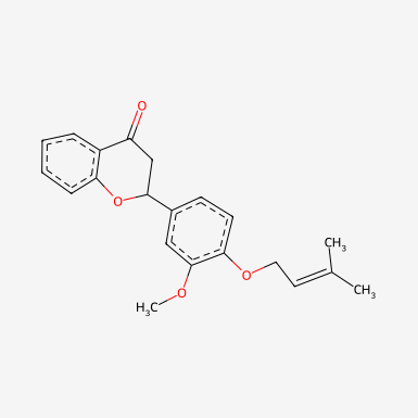 COc1cc(C2CC(=O)c3ccccc3O2)ccc1OCC=C(C)C